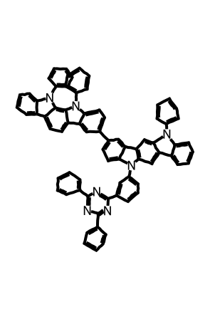 c1ccc(-c2nc(-c3ccccc3)nc(-c3cccc(-n4c5ccc(-c6ccc7c(c6)c6ccc8c9ccccc9n(-c9ccccc9)c8c6n7-c6ccccc6)cc5c5cc6c(cc54)c4ccccc4n6-c4ccccc4)c3)n2)cc1